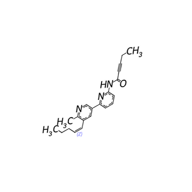 CCC#CC(=O)Nc1cccc(-c2cnc(C)c(/C=C\CCC)c2)n1